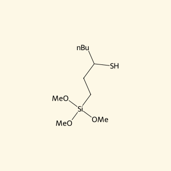 CCCCC(S)CC[Si](OC)(OC)OC